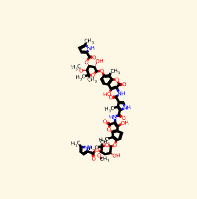 CO[C@H]1[C@H](OC(=O)c2ccc(C)[nH]2)[C@H](O)C(Oc2ccc3c(O)c(NC(=O)c4c[nH]c(C(=O)Nc5c(O)c6ccc(OC7OC(C)(C)[C@@](OC)(OC(=O)c8ccc(C)[nH]8)C[C@@H]7O)c(C)c6oc5=O)c4C)c(=O)oc3c2C)OC1(C)C